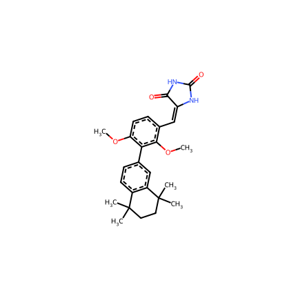 COc1ccc(C=C2NC(=O)NC2=O)c(OC)c1-c1ccc2c(c1)C(C)(C)CCC2(C)C